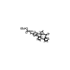 CC(C)(C)OC(=O)NCc1nc(-c2ncn3c2[C@@H]2CCN2C(=O)c2sccc2-3)no1